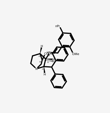 CCCc1ccc(OC)c(CN[C@H]2[C@H]3CCN(C[C@@H]3C(=O)O)[C@H]2C(c2ccccc2)c2ccccc2)c1